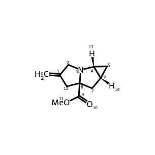 C=C1CN2[C@@H]3C[C@@H]3CC2(C(=O)OC)C1